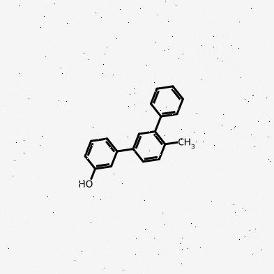 Cc1ccc(-c2cccc(O)c2)cc1-c1ccccc1